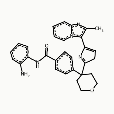 Cc1nc2ccccn2c1C1=CCC(C2(c3ccc(C(=O)Nc4ccccc4N)cc3)CCOCC2)=N1